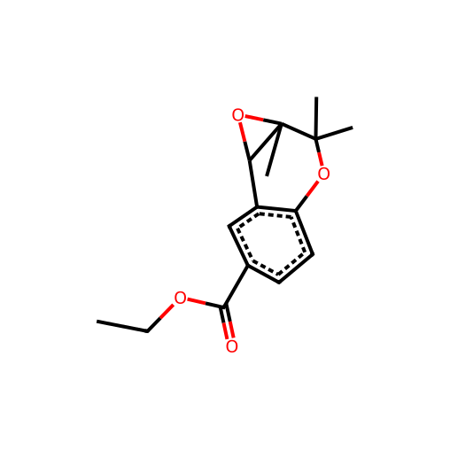 CCOC(=O)c1ccc2c(c1)C1OC1(C)C(C)(C)O2